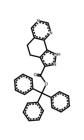 O=C(OC(c1ccccc1)(c1ccccc1)c1ccccc1)c1n[nH]c2c1CCc1cncnc1-2